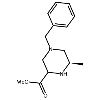 COC(=O)C1CN(Cc2ccccc2)C[C@@H](C)N1